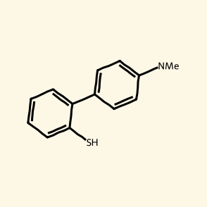 CNc1ccc(-c2ccccc2S)cc1